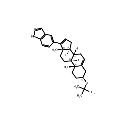 CC(C)(C)O[C@H]1CC[C@@]2(C)C(=CC[C@@H]3[C@@H]2CC[C@]2(C)C(c4ccc5[nH]ncc5c4)=CC[C@@H]32)C1